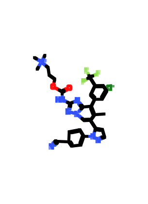 Cc1c(-c2ccnn2-c2ccc(C#N)cc2)cn2nc(NC(=O)OCCC[N+](C)(C)C)nc2c1-c1cccc(C(F)(F)F)c1.[Cl-]